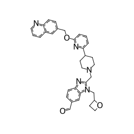 O=Cc1ccc2nc(CN3CCC(c4cccc(OCc5ccc6ncccc6c5)n4)CC3)n(CC3CCO3)c2c1